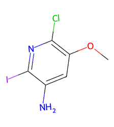 COc1cc(N)c(I)nc1Cl